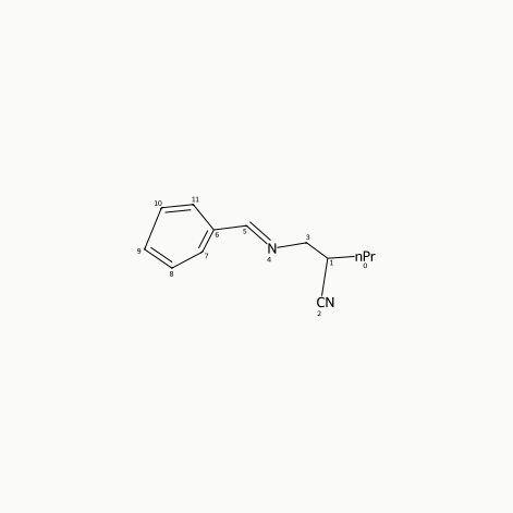 CCCC(C#N)C/N=C/c1ccccc1